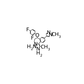 C/C(N)=C1\c2ccc(-c3cnn(C)c3)cc2C(Oc2ccc(F)cc2F)CCN1N